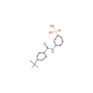 CC(C)(C)c1ccc(C(=O)Nc2cccc(S(=O)(=O)O)c2)cc1